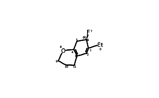 CCC1=CC2=C(C[C@H]1F)OCCC2